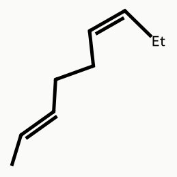 C/C=C/CC/C=C\CC